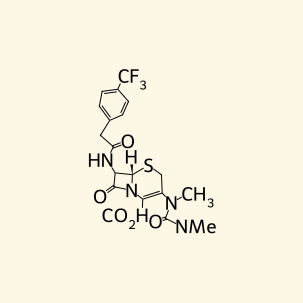 CNC(=O)N(C)C1=C(C(=O)O)N2C(=O)C(NC(=O)Cc3ccc(C(F)(F)F)cc3)[C@@H]2SC1